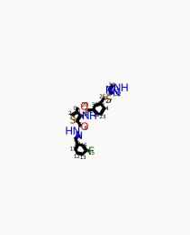 Cc1csc(C(=O)NN=Cc2cccc(F)c2)c1NC(=O)c1cccc(CSc2nc[nH]n2)c1